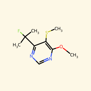 COc1ncnc(C(C)(C)F)c1SC